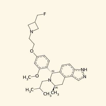 COc1cc(OCCN2CC(CF)C2)ccc1[C@@H]1c2ccc3[nH]ncc3c2C[C@@H](C)N1CC(C)C